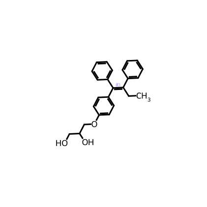 CC/C(=C(/c1ccccc1)c1ccc(OCC(O)CO)cc1)c1ccccc1